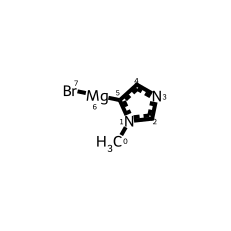 Cn1cnc[c]1[Mg][Br]